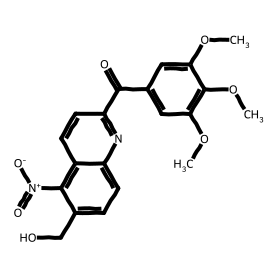 COc1cc(C(=O)c2ccc3c([N+](=O)[O-])c(CO)ccc3n2)cc(OC)c1OC